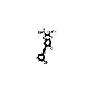 CCNc1nc2cc(Cl)c(C#Cc3cccc(O)c3)cc2nc1NCC